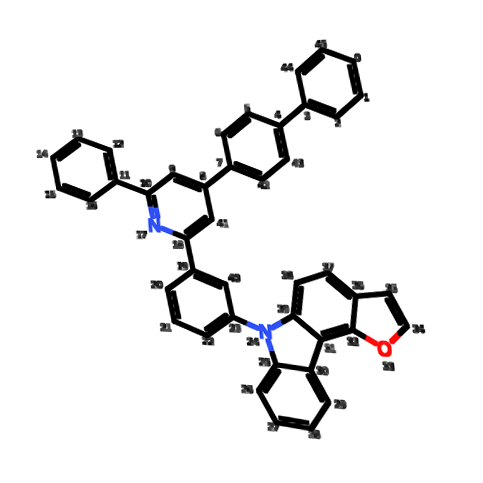 c1ccc(-c2ccc(-c3cc(-c4ccccc4)nc(-c4cccc(-n5c6ccccc6c6c7occc7ccc65)c4)c3)cc2)cc1